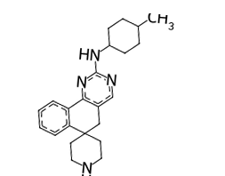 CC1CCC(Nc2ncc3c(n2)-c2ccccc2C2(CCNCC2)C3)CC1